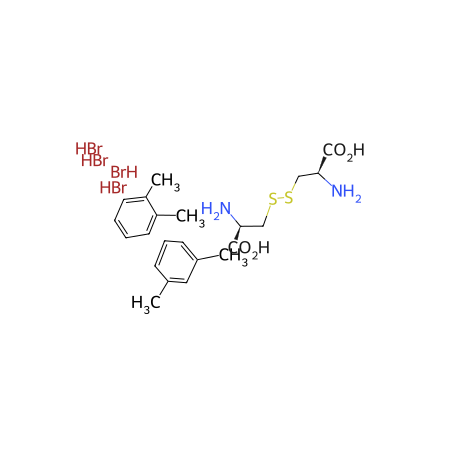 Br.Br.Br.Br.Cc1cccc(C)c1.Cc1ccccc1C.N[C@@H](CSSC[C@H](N)C(=O)O)C(=O)O